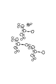 O=C([O-])c1cccc(-c2cc(C#Cc3ccccc3)cc(-c3cccc(C(=O)[O-])n3)n2)n1.O=C([O-])c1cccc(-c2cc(C#Cc3ccccc3)cc(-c3cccc(C(=O)[O-])n3)n2)n1.O=C([O-])c1cccc(-c2cc(C#Cc3ccccc3)cc(-c3cccc(C(=O)[O-])n3)n2)n1.[Tb+3].[Tb+3]